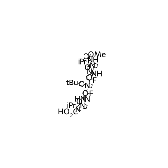 COC(=O)N[C@H](C(=O)N1CCC[C@H]1c1nc2ccc([C@H]3CC[C@H](c4ccc5[nH]c([C@@H]6CCCN6C(=O)[C@H](C(C)C)N(C)C(=O)O)nc5c4F)N3c3ccc(C(C)(C)C)cc3)c(F)c2[nH]1)C(C)C